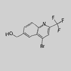 OCc1ccc2nc(C(F)(F)F)cc(Br)c2c1